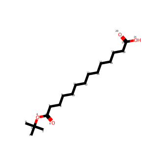 CC(C)(C)OC(=O)CCCCCCCCCCCCC(=O)O